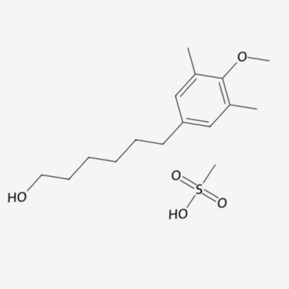 COc1c(C)cc(CCCCCCO)cc1C.CS(=O)(=O)O